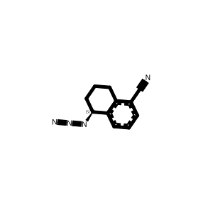 N#Cc1cccc2c1CCC[C@@H]2N=[N+]=[N-]